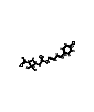 CC(=O)[C@H]1C[C@@H](CC(=O)O/N=C/C=C/c2ccc(Cl)cc2)C1(C)C